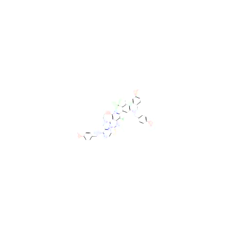 COc1ccc(CNc2nccnc2[C@@H](C)N2CCOc3nc(-c4cc(N(Cc5ccc(OC)cc5)Cc5ccc(OC)cc5)c(F)c(C)c4C(F)(F)F)c(F)c4nc(SC)nc2c34)cc1